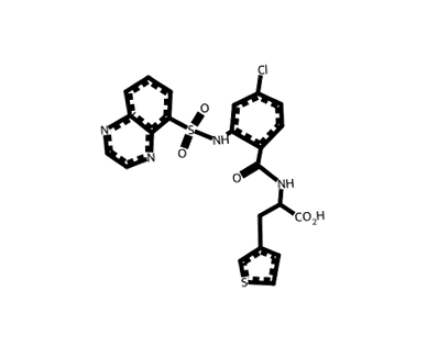 O=C(NC(Cc1ccsc1)C(=O)O)c1ccc(Cl)cc1NS(=O)(=O)c1cccc2nccnc12